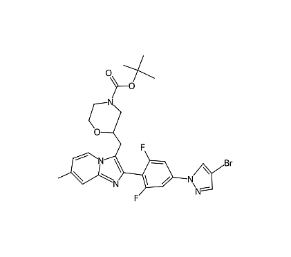 Cc1ccn2c(CC3CN(C(=O)OC(C)(C)C)CCO3)c(-c3c(F)cc(-n4cc(Br)cn4)cc3F)nc2c1